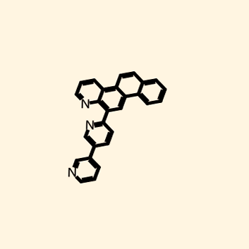 c1cncc(-c2ccc(-c3cc4c5ccccc5ccc4c4cccnc34)nc2)c1